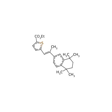 CCOC(=O)c1ccc(/C=C(\C)c2ccc3c(c2)C(C)(C)CCC3(C)C)s1